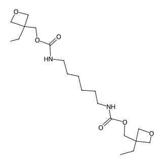 CCC1(COC(=O)NCCCCCCNC(=O)OCC2(CC)COC2)COC1